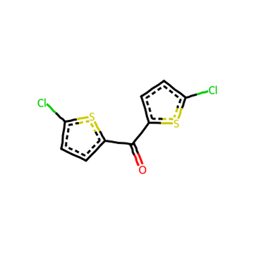 O=C(c1ccc(Cl)s1)c1ccc(Cl)s1